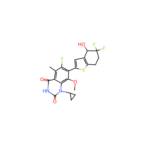 COc1c(-c2cc3c(s2)CCC(F)(F)C3O)c(F)c(C)c2c(=O)[nH]c(=O)n(C3CC3)c12